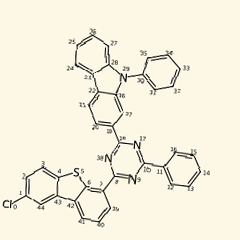 Clc1ccc2sc3c(-c4nc(-c5ccccc5)nc(-c5ccc6c7ccccc7n(-c7ccccc7)c6c5)n4)cccc3c2c1